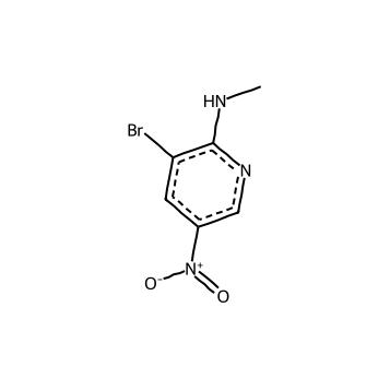 CNc1ncc([N+](=O)[O-])cc1Br